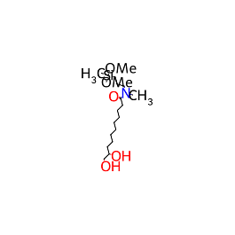 CO[Si](C)(CCCN(C)C(=O)CCCCCCCCC(O)CO)OC